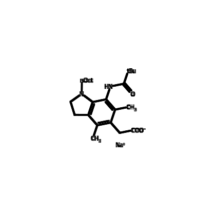 CCCCCCCCN1CCc2c(C)c(CC(=O)[O-])c(C)c(NC(=O)C(C)(C)C)c21.[Na+]